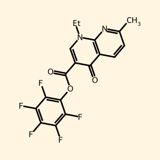 CCn1cc(C(=O)Oc2c(F)c(F)c(F)c(F)c2F)c(=O)c2ccc(C)nc21